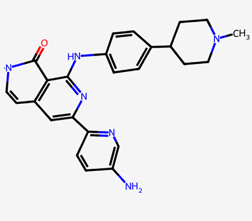 CN1CCC(c2ccc(Nc3nc(-c4ccc(N)cn4)cc4c3C(=O)[N]C=C4)cc2)CC1